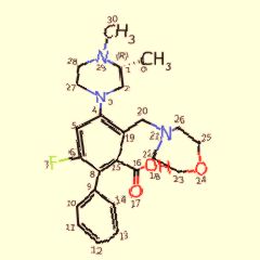 C[C@@H]1CN(c2cc(F)c(-c3ccccc3)c(C(=O)O)c2CN2CCOCC2)CCN1C